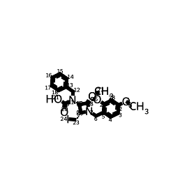 COc1ccc(CN2C(=O)[C@@H](N(Cc3ccccc3)C(=O)O)[C@H]2CI)c(OC)c1